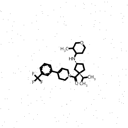 CC1COCCC1N[C@@H]1CC[C@@](C(=O)N2CC=C(c3cccc(C(F)(F)F)c3)CC2)(C(C)C)C1